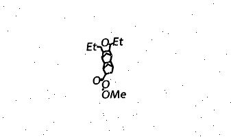 CCC1OC(CC)C2C3CC(C4C5CC(C(=O)OCOC)C(C5)C34)C12